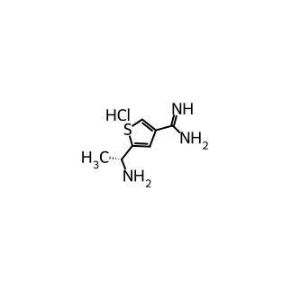 C[C@@H](N)c1cc(C(=N)N)cs1.Cl